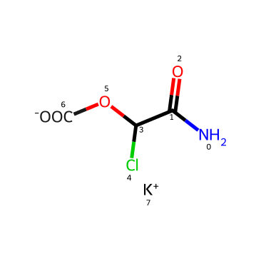 NC(=O)C(Cl)OC(=O)[O-].[K+]